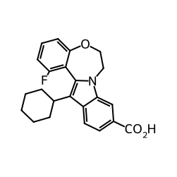 O=C(O)c1ccc2c(C3CCCCC3)c3n(c2c1)CCOc1cccc(F)c1-3